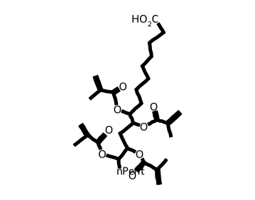 C=C(C)C(=O)OC(CCCCC)C(CC(OC(=O)C(=C)C)C(CCCCCCCC(=O)O)OC(=O)C(=C)C)OC(=O)C(=C)C